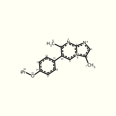 Cc1nc2ncc(C)n2cc1-c1ccc(OC(C)C)cc1